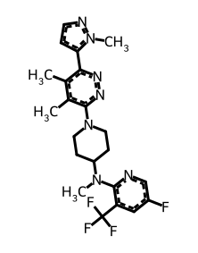 Cc1c(-c2ccnn2C)nnc(N2CCC(N(C)c3ncc(F)cc3C(F)(F)F)CC2)c1C